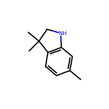 Cc1ccc2c(c1)NCC2(C)C